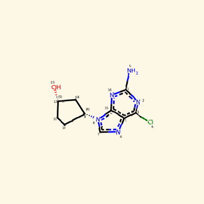 Nc1nc(Cl)c2ncn([C@@H]3CC[C@H](O)C3)c2n1